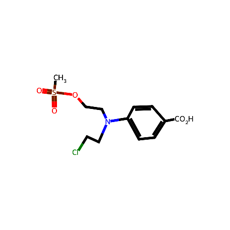 CS(=O)(=O)OCCN(CCCl)c1ccc(C(=O)O)cc1